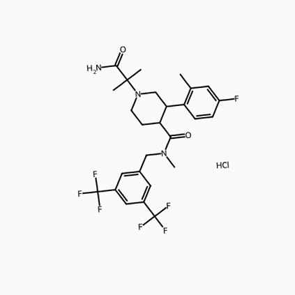 Cc1cc(F)ccc1C1CN(C(C)(C)C(N)=O)CCC1C(=O)N(C)Cc1cc(C(F)(F)F)cc(C(F)(F)F)c1.Cl